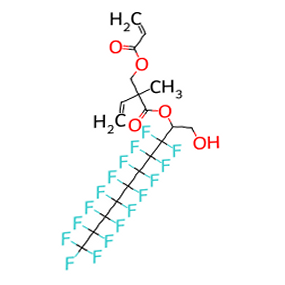 C=CC(=O)OCC(C)(C=C)C(=O)OC(CO)C(F)(F)C(F)(F)C(F)(F)C(F)(F)C(F)(F)C(F)(F)C(F)(F)C(F)(F)F